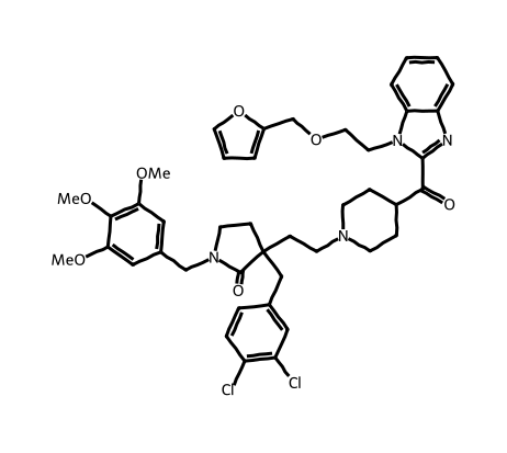 COc1cc(CN2CCC(CCN3CCC(C(=O)c4nc5ccccc5n4CCOCc4ccco4)CC3)(Cc3ccc(Cl)c(Cl)c3)C2=O)cc(OC)c1OC